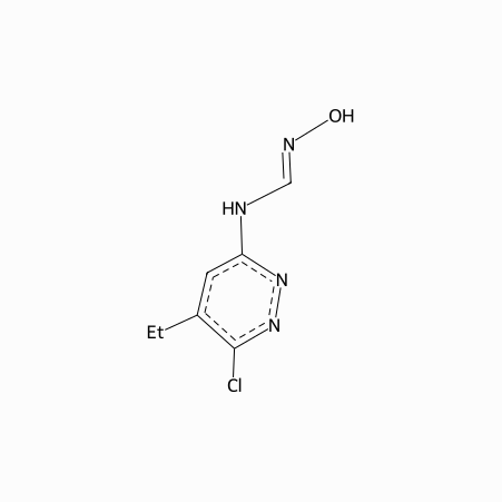 CCc1cc(NC=NO)nnc1Cl